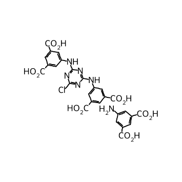 Nc1cc(C(=O)O)cc(C(=O)O)c1.O=C(O)c1cc(Nc2nc(Cl)nc(Nc3cc(C(=O)O)cc(C(=O)O)c3)n2)cc(C(=O)O)c1